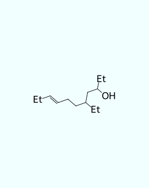 CCC=CCCC(CC)CC(O)CC